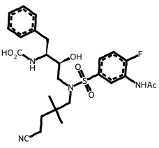 CC(=O)Nc1cc(S(=O)(=O)N(C[C@H](O)[C@H](Cc2ccccc2)NC(=O)O)CC(C)(C)CCC#N)ccc1F